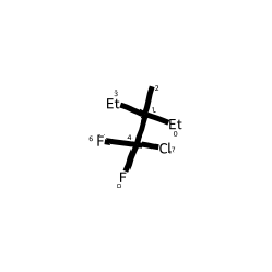 CCC(C)(CC)C(F)(F)Cl